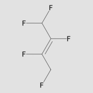 FCC(F)=C(F)C(F)F